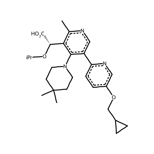 Cc1ncc(-c2ccc(OCC3CC3)cn2)c(N2CCC(C)(C)CC2)c1[C@H](OC(C)C)C(=O)O